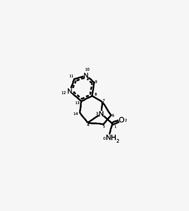 NC(=O)N1C2CCC1c1cncnc1C2